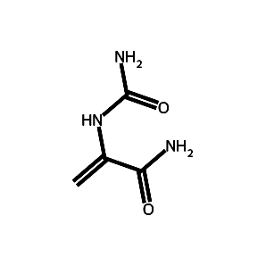 C=C(NC(N)=O)C(N)=O